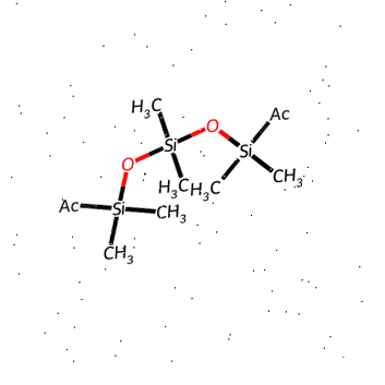 CC(=O)[Si](C)(C)O[Si](C)(C)O[Si](C)(C)C(C)=O